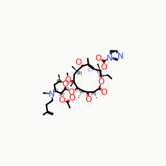 C=C(C)CCN(C)[C@H]1C[C@@H](C)O[C@@H](O[C@@H]2[C@@H](C)C(=O)[C@@H](C)C(=O)O[C@H](CC)[C@@](C)(OC(=O)n3ccnc3)/C=C(\C)C(=O)[C@H](C)C[C@@]2(C)OC)[C@@H]1OC(C)=O